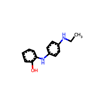 CCNc1ccc(Nc2ccccc2O)cc1